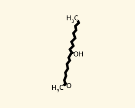 CCCCCCCCCC(O)CCCCCCCC(C)=O